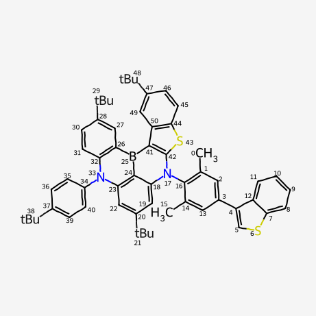 Cc1cc(-c2csc3ccccc23)cc(C)c1N1c2cc(C(C)(C)C)cc3c2B(c2cc(C(C)(C)C)ccc2N3c2ccc(C(C)(C)C)cc2)c2c1sc1ccc(C(C)(C)C)cc21